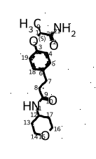 C[C@H](Oc1ccc(C[CH]C(=O)NC2CCOCC2)cc1)C(N)=O